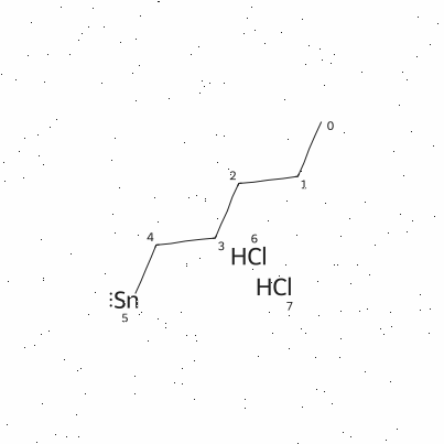 CCCC[CH2][Sn].Cl.Cl